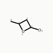 CC1CC(Cl)O1